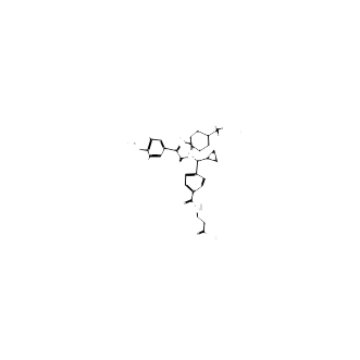 COc1c(F)cc(C2=NC3(CCC(C(C)(C)C)CC3)N(C(c3ccc(C(=O)NCCC(=O)O)cc3)C3CC3)C2=O)cc1F